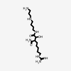 N=C(N)NCCCCCC(C(N)=O)C(O)C(=O)NCCCCNCCCN